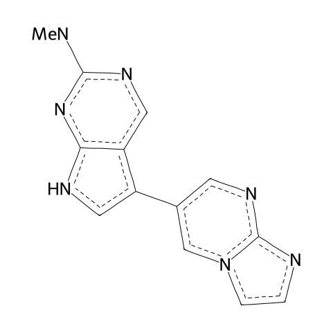 CNc1ncc2c(-c3cnc4nccn4c3)c[nH]c2n1